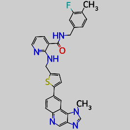 Cc1ccc(CNC(=O)c2cccnc2NCc2ccc(-c3ccc4ncc5ncn(C)c5c4c3)s2)cc1F